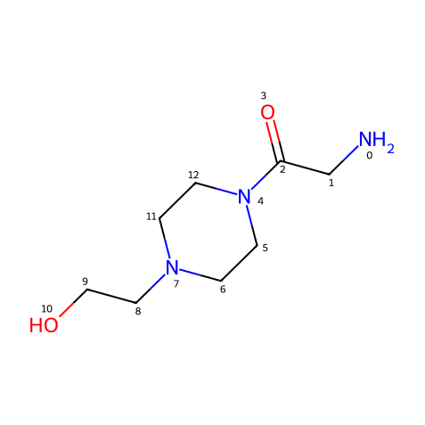 NCC(=O)N1CCN(CCO)CC1